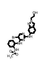 CS(=O)(=O)Nc1ccccc1Nc1nc(Nc2ccc3cn(CCO)nc3c2)ncc1Br